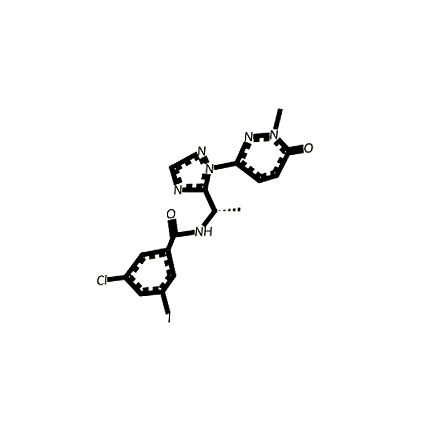 C[C@H](NC(=O)c1cc(Cl)cc(I)c1)c1ncnn1-c1ccc(=O)n(C)n1